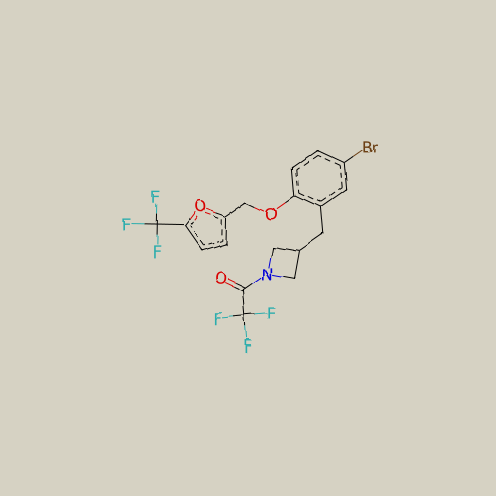 O=C(N1CC(Cc2cc(Br)ccc2OCc2ccc(C(F)(F)F)o2)C1)C(F)(F)F